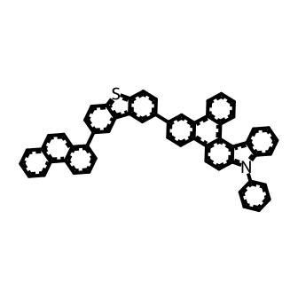 c1ccc(-n2c3ccccc3c3c4c5ccccc5c5cc(-c6ccc7sc8ccc(-c9cccc%10c9ccc9ccccc9%10)cc8c7c6)ccc5c4ccc32)cc1